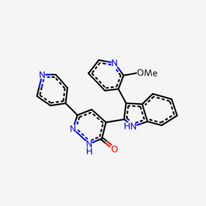 COc1ncccc1-c1c(-c2cc(-c3ccncc3)n[nH]c2=O)[nH]c2ccccc12